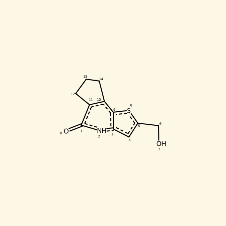 O=c1[nH]c2cc(CO)sc2c2c1CCC2